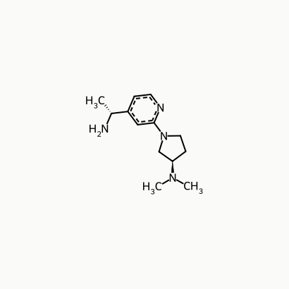 C[C@@H](N)c1ccnc(N2CC[C@@H](N(C)C)C2)c1